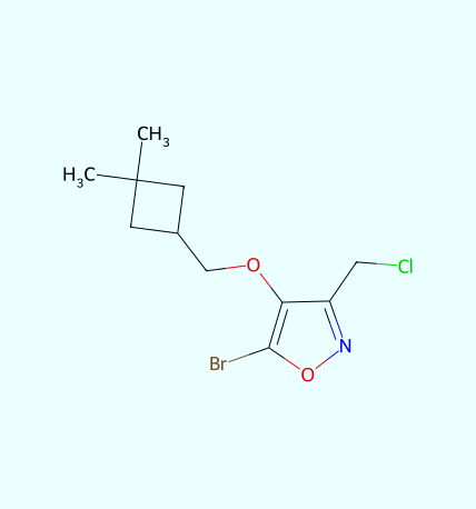 CC1(C)CC(COc2c(CCl)noc2Br)C1